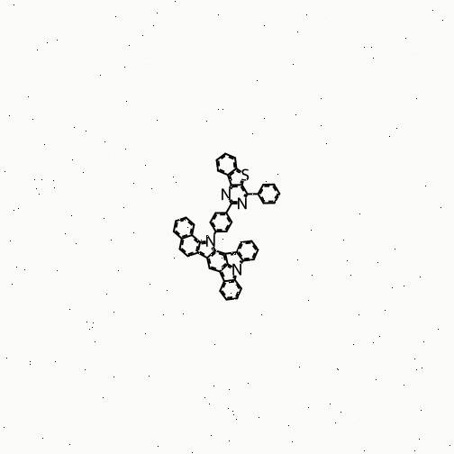 c1ccc(-c2nc(-c3ccc(-n4c5c6ccccc6ccc5c5cc6c7ccccc7n7c8ccccc8c(c54)c67)cc3)nc3c2sc2ccccc23)cc1